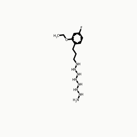 CCOc1cc(F)ccc1CCCNNNNNNNN